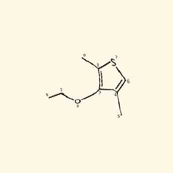 CCOc1c(C)csc1C